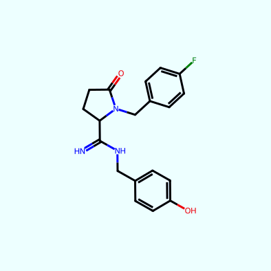 N=C(NCc1ccc(O)cc1)C1CCC(=O)N1Cc1ccc(F)cc1